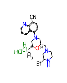 CCC1CN(C[C@H]2CN(c3ccc(C#N)c4ncccc34)C[C@@H](C)O2)CCN1.Cl.Cl